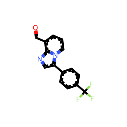 O=Cc1cccn2c(-c3ccc(C(F)(F)F)cc3)cnc12